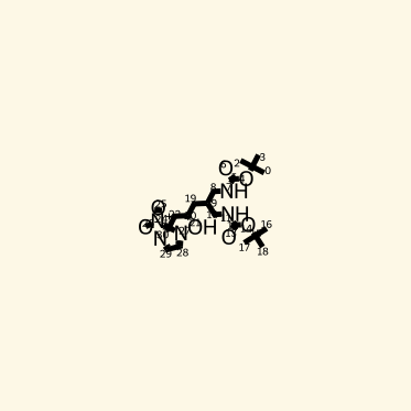 CC(C)(C)OC(=O)NCC(CNC(=O)OC(C)(C)C)CC(O)CC1([N+](=O)[O-])N=CC=N1